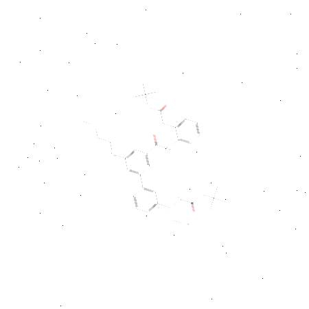 COCCNc1cc(C(=O)Nc2ccccc2CC(=O)OC(C)(C)C)cc(-c2cccc([C@@H](CO)NC(=O)OC(C)(C)C)c2)c1